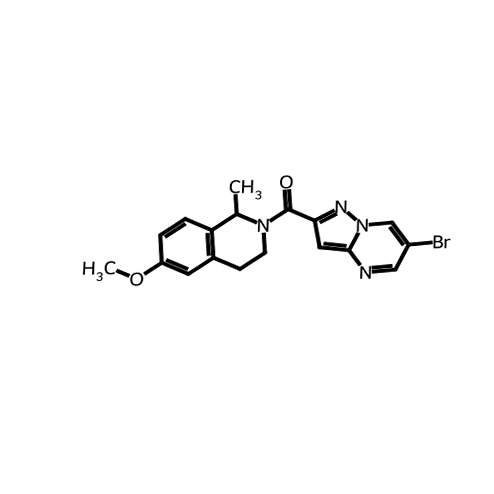 COc1ccc2c(c1)CCN(C(=O)c1cc3ncc(Br)cn3n1)C2C